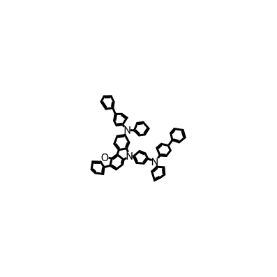 C1=CC(c2ccccc2)CC=C1N(c1ccccc1)c1ccc(-n2c3cc(N(c4ccccc4)c4ccc(-c5ccccc5)cc4)ccc3c3c4oc5ccccc5c4ccc32)cc1